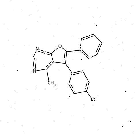 CCc1ccc(-c2c(-c3ccccc3)oc3ncnc(C)c23)cc1